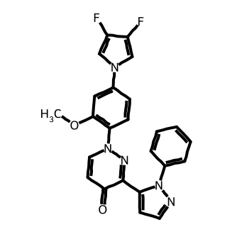 COc1cc(-n2cc(F)c(F)c2)ccc1-n1ccc(=O)c(-c2ccnn2-c2ccccc2)n1